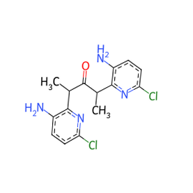 CC(C(=O)C(C)c1nc(Cl)ccc1N)c1nc(Cl)ccc1N